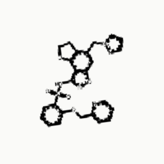 O=S(=O)(Nc1noc2cc(Cn3cccn3)c3c(c12)OCC3)c1ccccc1OCc1ccccn1